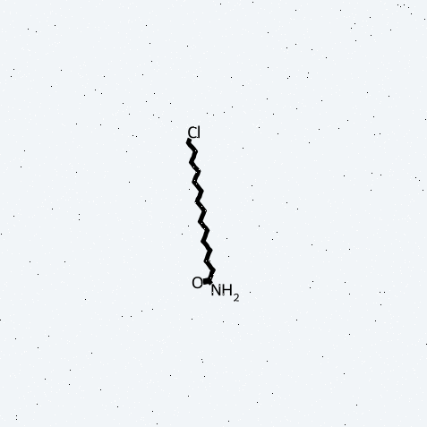 NC(=O)CCCCCCCCCCCCCCCl